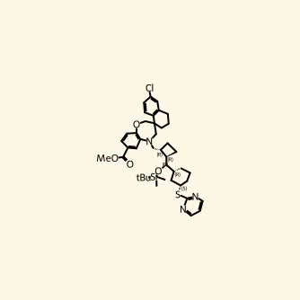 COC(=O)c1ccc2c(c1)N(C[C@@H]1CC[C@H]1[C@H](O[Si](C)(C)C(C)(C)C)[C@@H]1CCC[C@H](Sc3ncccn3)C1)CC1(CCCc3cc(Cl)ccc31)CO2